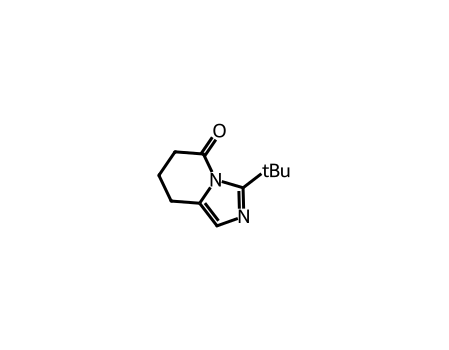 CC(C)(C)c1ncc2n1C(=O)CCC2